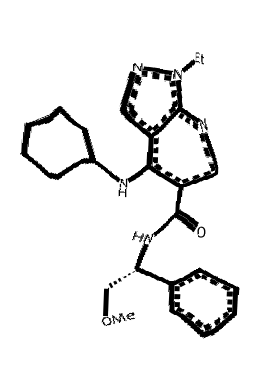 CCn1ncc2c(NC3CCCCC3)c(C(=O)N[C@@H](COC)c3ccccc3)cnc21